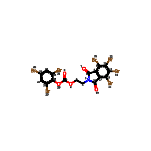 O=C(OCCN1C(=O)c2c(Br)c(Br)c(Br)c(Br)c2C1=O)Oc1c(Br)cc(Br)cc1Br